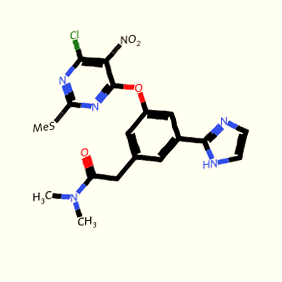 CSc1nc(Cl)c([N+](=O)[O-])c(Oc2cc(CC(=O)N(C)C)cc(-c3ncc[nH]3)c2)n1